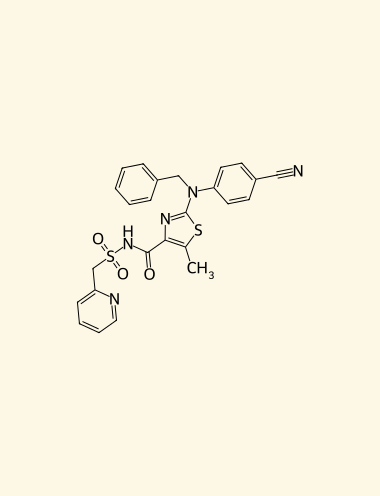 Cc1sc(N(Cc2ccccc2)c2ccc(C#N)cc2)nc1C(=O)NS(=O)(=O)Cc1ccccn1